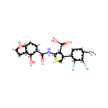 Cc1ccc(-c2csc(NC(=O)c3ccc4occc4c3O)c2C(=O)O)c(F)c1F